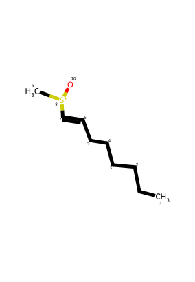 CCCCCCC=C[S+](C)[O-]